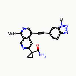 CCn1nnc2ccc(C#Cc3cnc(NC)c4cnc(C5(C(N)=O)CC5)cc34)cc21